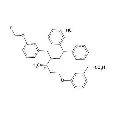 C[C@H](CCOc1cccc(CC(=O)O)c1)N(Cc1cccc(OCF)c1)CC(c1ccccc1)c1ccccc1.Cl